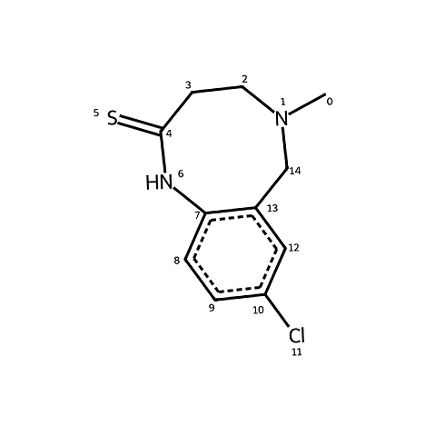 CN1CCC(=S)Nc2ccc(Cl)cc2C1